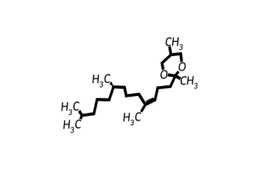 C/C(=C/CCC1(C)OCC(C)CO1)CCC[C@H](C)CCCC(C)C